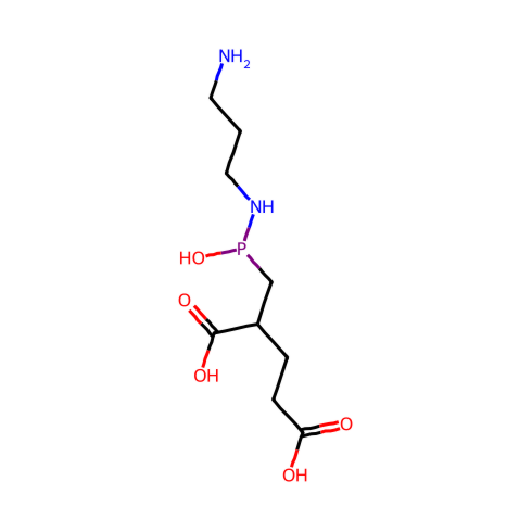 NCCCNP(O)CC(CCC(=O)O)C(=O)O